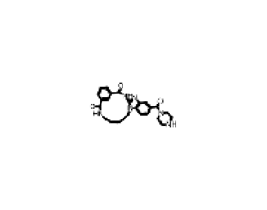 O=C1NCCCCCn2c(nc3cc(C(=O)N4CCNCC4)ccc32)NC(=O)c2cccc1c2